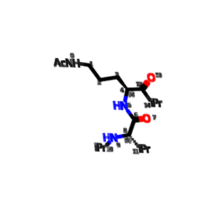 CC(=O)NCCC[C@H](NC(=O)[C@@H](NC(C)C)C(C)C)C(=O)C(C)C